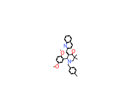 COc1ccc(OC)c(C2/C(=C/c3ccc4ccccc4n3)C(=O)C(C)(C)CN2Cc2ccc(C)cc2)c1